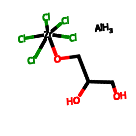 OCC(O)C[O][Zr]([Cl])([Cl])([Cl])([Cl])[Cl].[AlH3]